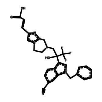 N#Cc1ccc2c(C(O)(CN3CCn4cc(/C=C/C(=O)O)nc4C3)C(F)(F)F)cn(Cc3ccccc3)c2c1